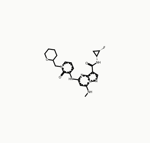 CNc1cc(Nc2cccn(CC3CCCCO3)c2=O)nc2c(C(=O)N[C@@H]3C[C@@H]3F)cnn12